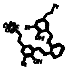 CC(=O)[O-].CC(=O)[O-].CCc1cc(CCC(C)C)cc(C=Nc2ccccc2N=Cc2cc(CCC(C)C)cc(CC)c2O)c1O.[Co+2]